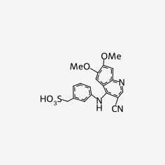 COc1cc2ncc(C#N)c(Nc3cccc(CS(=O)(=O)O)c3)c2cc1OC